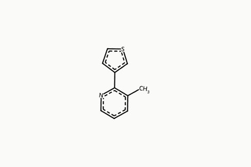 Cc1cccnc1-c1ccsc1